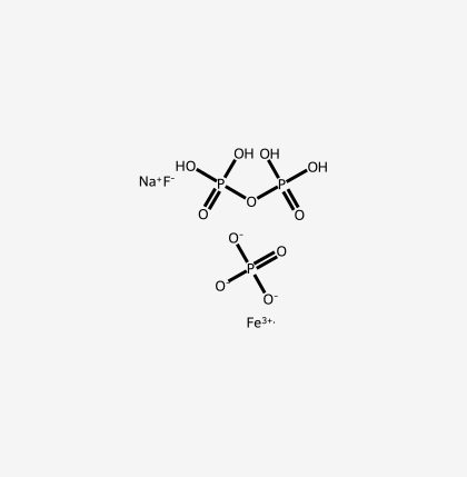 O=P(O)(O)OP(=O)(O)O.O=P([O-])([O-])[O-].[F-].[Fe+3].[Na+]